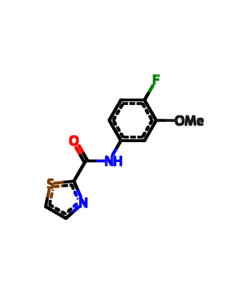 COc1cc(NC(=O)c2nccs2)ccc1F